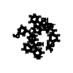 COc1cccc(C[N+]23CCC(C(O)(c4ccccc4)c4ccccc4)(CC2)CC3)c1.OC(c1ccccc1)(c1ccccc1)C12CC[N+](Cc3ccc(OC(F)(F)F)cc3)(CC1)CC2.[Br-].[Br-]